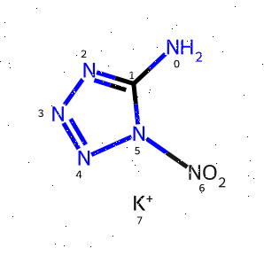 Nc1nnnn1[N+](=O)[O-].[K+]